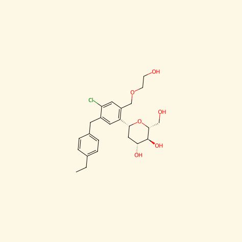 CCc1ccc(Cc2cc([C@H]3C[C@@H](O)[C@H](O)[C@@H](CO)O3)c(COCCO)cc2Cl)cc1